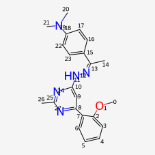 COc1ccccc1-c1cc(NN=C(C)c2ccc(N(C)C)cc2)nc(C)n1